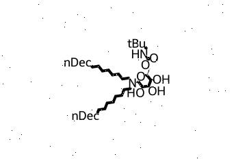 CCCCCCCCCCCCCCCCCCN(CCCCCCCCCCCCCCCCCC)[C@@H]1O[C@H](COC(=O)NCC(C)(C)C)[C@@H](O)[C@H](O)[C@H]1O